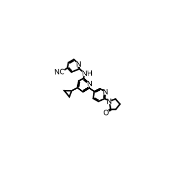 N#Cc1ccnc(Nc2cc(C3CC3)cc(-c3ccc(N4CCCC4=O)nc3)n2)c1